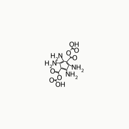 Nc1c(N)c(C(=O)OC(=O)O)c(N)c(N)c1C(=O)OC(=O)O